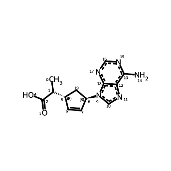 CC(C(=O)O)[C@H]1C=C[C@H](n2cnc3c(N)ncnc32)C1